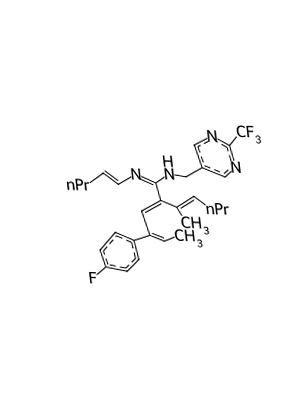 C\C=C(/C=C(C(\C)=C\CCC)/C(=N\C=C\CCC)NCc1cnc(C(F)(F)F)nc1)c1ccc(F)cc1